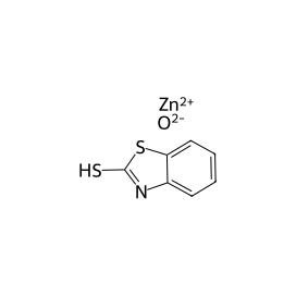 Sc1nc2ccccc2s1.[O-2].[Zn+2]